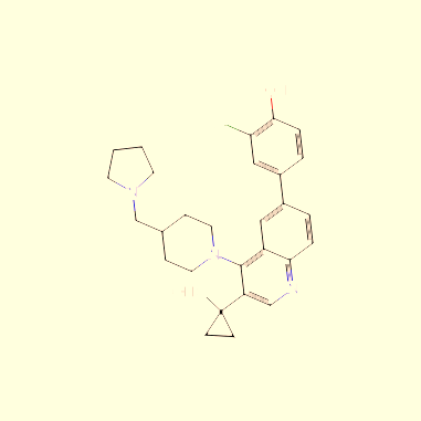 O=CC1(c2cnc3ccc(-c4ccc(O)c(Cl)c4)cc3c2N2CCC(CN3CCCC3)CC2)CC1